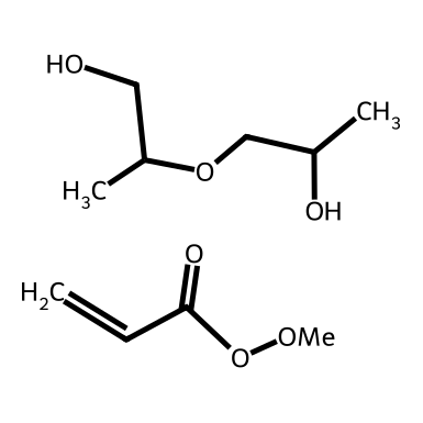 C=CC(=O)OOC.CC(O)COC(C)CO